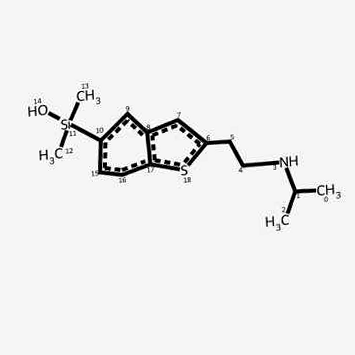 CC(C)NCCc1cc2cc([Si](C)(C)O)ccc2s1